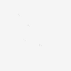 CCC(=O)NCc1nccc(N)n1